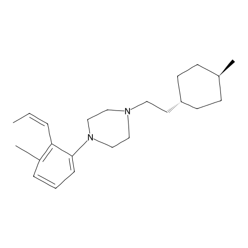 C/C=C\c1c(C)cccc1N1CCN(CC[C@H]2CC[C@H](C)CC2)CC1